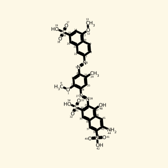 COc1cc(N=Nc2ccc3c(OC)cc(S(=O)(=O)O)cc3c2)c(C)cc1N=Nc1c(S(=O)(=O)O)cc2cc(S(=O)(=O)O)c(N)cc2c1O